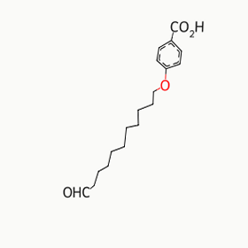 O=CCCCCCCCCCCOc1ccc(C(=O)O)cc1